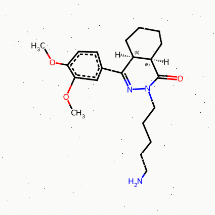 COc1ccc(C2=NN(CCCCCN)C(=O)[C@@H]3CCCC[C@H]23)cc1OC